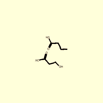 CCCC(=O)O.O=C(O)CCO